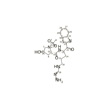 CS(=O)(=O)N1C[C@H](O)C[C@H]1C(=O)NC(CCCNC=NN)C(=O)c1nc2ccccc2s1